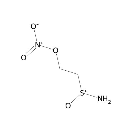 N[S+]([O-])CCO[N+](=O)[O-]